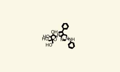 OCC1(CO)O[C@@H](n2cc(-c3ccccc3)c3c2N=CN(Nc2ccccc2)C3)[C@H](O)[C@@H]1O